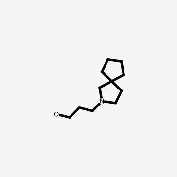 [O]CCCN1CCC2(CCCC2)C1